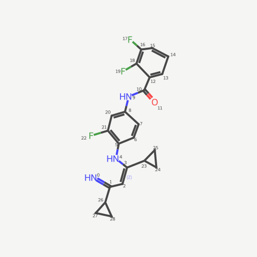 N=C(/C=C(\Nc1ccc(NC(=O)c2cccc(F)c2F)cc1F)C1CC1)C1CC1